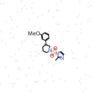 COc1cccc([C@@H]2CCCN(S(=O)(=O)n3ccnc3C)C2)c1